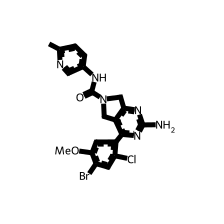 COc1cc(-c2nc(N)nc3c2CN(C(=O)Nc2ccc(C)nc2)C3)c(Cl)cc1Br